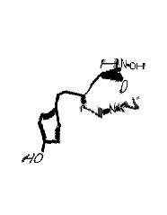 [N-]=[N+]=N[C@H](CC(=O)NO)Cc1ccc(O)cc1